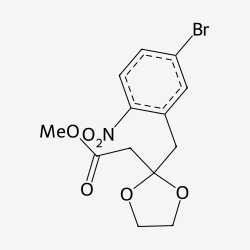 COC(=O)CC1(Cc2cc(Br)ccc2[N+](=O)[O-])OCCO1